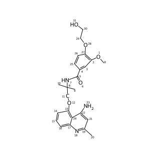 COc1cc(C(=O)NC(C)(C)COc2cccc3nc(C)cc(N)c23)ccc1OCCO